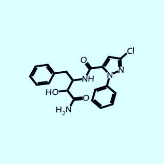 NC(=O)C(O)C(Cc1ccccc1)NC(=O)c1cc(Cl)nn1-c1ccccc1